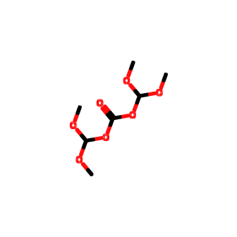 COC(OC)OC(=O)OC(OC)OC